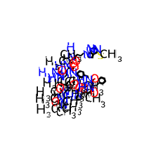 C=C(CC)[C@@H]([C@@H](CC(=O)N1CCC[C@H]1[C@H](OC)[C@@H](C)C(=O)N[C@@H](Cc1ccccc1)C(=O)NCc1ccc(NC(=O)C(CCCNC(N)=O)NC(=O)[C@@H](NC(=O)CCCn2ccc3c(SC)ncnc32)C(C)C)cc1)OC)N(C)C(=O)[C@@H](NC(=O)[C@H](C(C)C)N(C)C)C(C)C